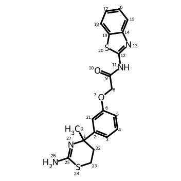 CC1(c2cccc(OCC(=O)Nc3nc4ccccc4s3)c2)CCSC(N)=N1